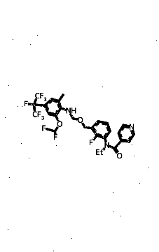 CCN(C(=O)c1ccncc1)c1cccc(COCNc2c(C)cc(C(F)(C(F)(F)F)C(F)(F)F)cc2OC(F)F)c1F